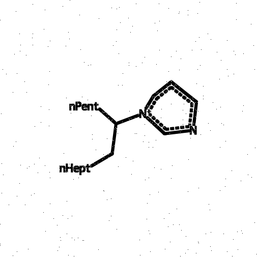 CCCCCCCCC(CCCCC)[n+]1cccnc1